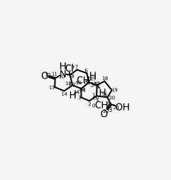 C[C@]12CC[C@@H]3[C@@H](CCC4(Cl)NC(=O)CC[C@]34C)[C@@H]1CCC2C(=O)O